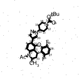 CC(=O)N1c2ccc(-c3cnn(C4CCN(C(=O)OC(C)(C)C)CC4)c3)c(Oc3cc(F)ccc3F)c2CCC1C